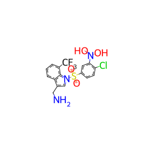 NCc1cn(S(=O)(=O)c2ccc(Cl)c(N(O)O)c2)c2c(C(F)(F)F)cccc12